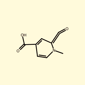 CN1C=CC(C(=O)O)=CC1=C=O